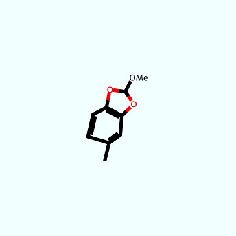 COC1Oc2ccc(C)cc2O1